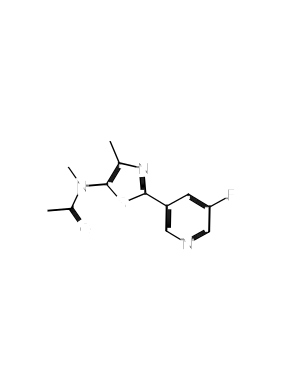 CC(=O)N(C)c1sc(-c2cncc(F)c2)nc1C